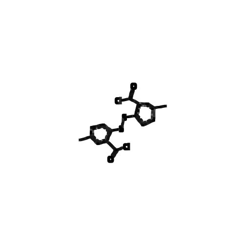 Cc1ccc(SSc2ccc(C)cc2C(=O)Cl)c(C(=O)Cl)c1